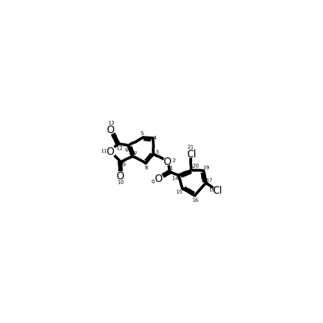 O=C(Oc1ccc2c(c1)C(=O)OC2=O)c1ccc(Cl)cc1Cl